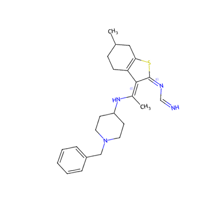 C/C(NC1CCN(Cc2ccccc2)CC1)=C1/C2=C(CC(C)CC2)S/C1=N/C=N